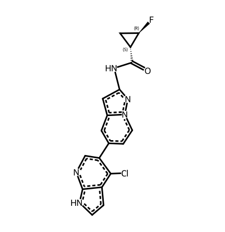 O=C(Nc1cc2cc(-c3cnc4[nH]ccc4c3Cl)ccn2n1)[C@@H]1C[C@H]1F